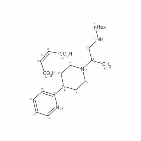 CCCCCCNCC(C)N1CCN(c2ccccn2)CC1.O=C(O)/C=C\C(=O)O